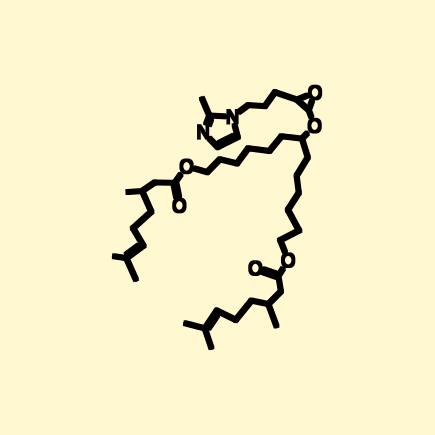 CC(C)=CCCC(C)CC(=O)OCCCCCCC(CCCCCCOC(=O)CC(C)CCC=C(C)C)OC1OC1CCCn1ccnc1C